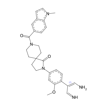 COc1cc(N2CCC3(CCN(C(=O)c4ccc5c(ccn5C)c4)CC3)C2=O)ccc1/C(C=N)=C/N